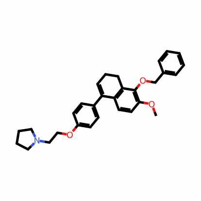 COc1ccc2c(c1OCc1ccccc1)CCC=C2c1ccc(OCCN2CCCC2)cc1